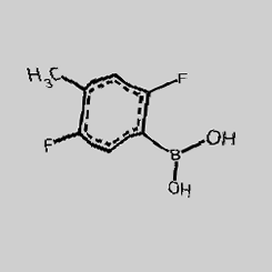 Cc1cc(F)c(B(O)O)cc1F